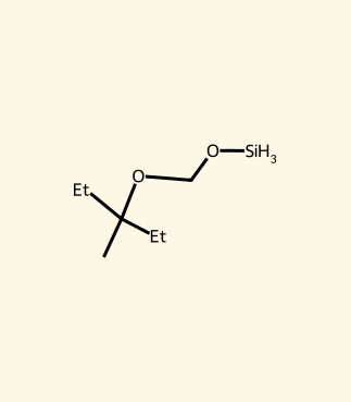 CCC(C)(CC)OCO[SiH3]